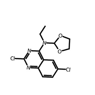 CCN(c1nc(Cl)nc2ccc(Cl)cc12)C1OCCO1